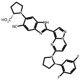 N#Cc1cc2nc(-c3cnn4ccc(N5CCC[C@@H]5c5cc(F)ccc5F)nc34)[nH]c2cc1N1CCC[C@H]1C(=O)O